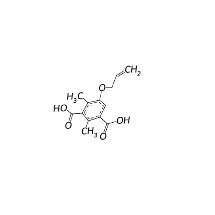 C=CCOc1cc(C(=O)O)c(C)c(C(=O)O)c1C